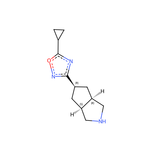 C1CC1c1nc([C@H]2C[C@H]3CNC[C@H]3C2)no1